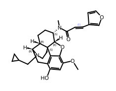 COc1cc(O)c2c3c1O[C@H]1[C@@H](N(C)C(=O)/C=C/c4ccoc4)CC[C@H]4[C@@H](C2)N(CC2CC2)CC[C@@]341